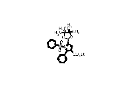 CCOC(=O)c1cc(B2OC(C)(C)C(C)(C)O2)n(S(=O)(=O)c2ccccc2)c1-c1ccccc1